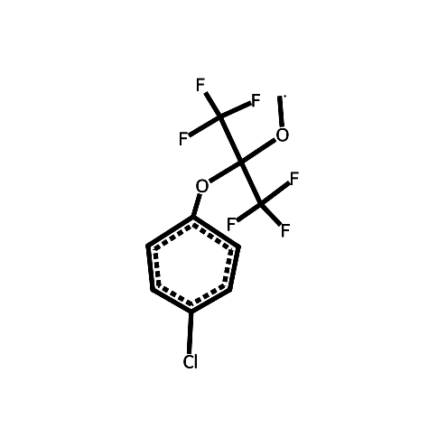 [CH2]OC(Oc1ccc(Cl)cc1)(C(F)(F)F)C(F)(F)F